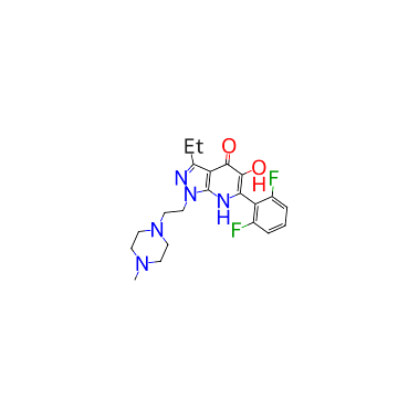 CCc1nn(CCN2CCN(C)CC2)c2[nH]c(-c3c(F)cccc3F)c(O)c(=O)c12